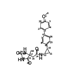 COc1ccc(-c2ccc([C@H]3C[C@@H]3NC(=O)CC3(C)NC(=O)NC3=O)cc2)cc1